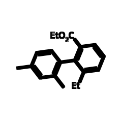 CCOC(=O)c1cccc(CC)c1-c1ccc(C)cc1C